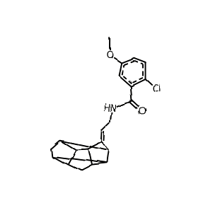 COc1ccc(Cl)c(C(=O)NCC=C2C3C4CC5C6CC(C2C64)C53)c1